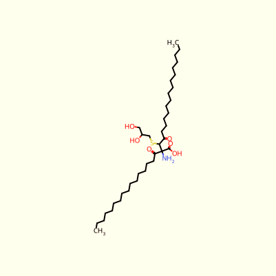 CCCCCCCCCCCCCCCC(=O)C(SCC(O)CO)C(N)(C(=O)O)C(=O)CCCCCCCCCCCCCCC